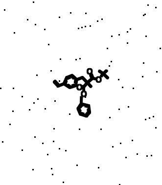 C=Cc1ccc(CC(C)(C(=O)OCc2ccccc2)C(=O)OC(C)(C)C)cc1